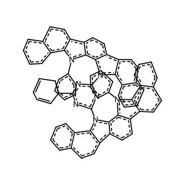 C1=CCC(c2nc(-n3c4c5ccccc5ccc4c4ccc5c6ccc7ccccc7c6n(-c6ccccc6)c5c43)nc(-n3c4c5ccccc5ccc4c4ccc5c6ccc7ccccc7c6n(-c6ccccc6)c5c43)n2)C=C1